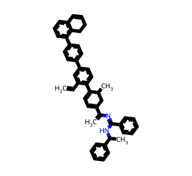 C=Cc1cc(-c2ccc(-c3cccc4c3CCC=C4)cc2)ccc1C1=CC=C(C(=C)/N=C(\NC(C)c2ccccc2)c2ccccc2)CC1C